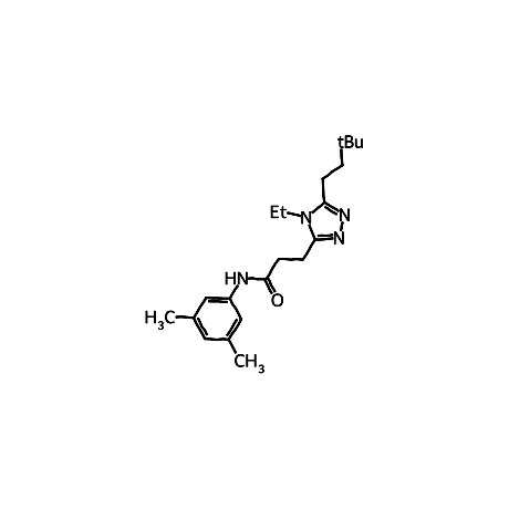 CCn1c(CCC(=O)Nc2cc(C)cc(C)c2)nnc1CCC(C)(C)C